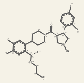 Cc1cc(C2CCN(C(=O)[C@@H]3CN(C(C)(C)C)C[C@H]3c3ccc(F)cc3F)CC2)c([C@H](I)NCCN)cc1C